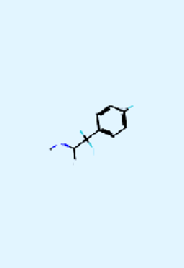 CC(C)NC(C)C(F)(F)c1ccc(F)cc1